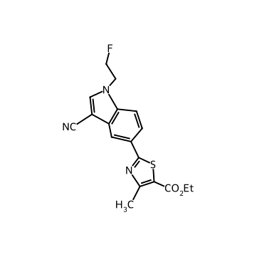 CCOC(=O)c1sc(-c2ccc3c(c2)c(C#N)cn3CCF)nc1C